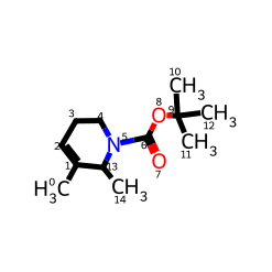 CC1=CCCN(C(=O)OC(C)(C)C)C1C